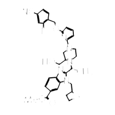 COC(=O)c1ccc2nc([C@H](C)N3CCN(c4cccc(OCc5ccc(C#N)cc5F)n4)CC3CO)n(CC3CCO3)c2c1